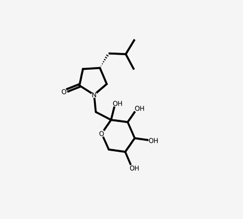 CC(C)C[C@H]1CC(=O)N(CC2(O)OCC(O)C(O)C2O)C1